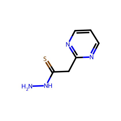 NNC(=S)Cc1ncccn1